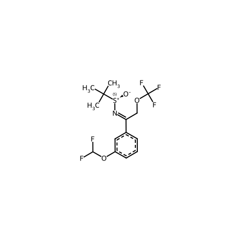 CC(C)(C)[S@@+]([O-])N=C(COC(F)(F)F)c1cccc(OC(F)F)c1